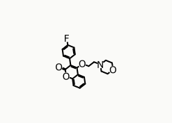 O=c1oc2ccccc2c(OCCN2CCOCC2)c1-c1ccc(F)cc1